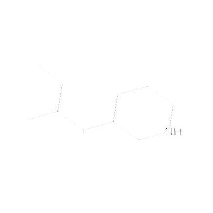 CCC(C)[CH]C1CCCNC1